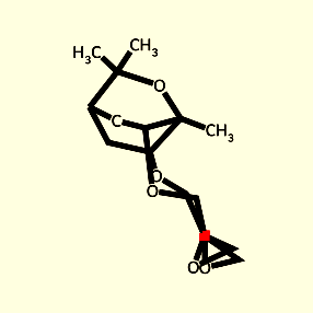 CC1(C)OC2(C)C(OCC3CO3)CC1CC2OCC1CO1